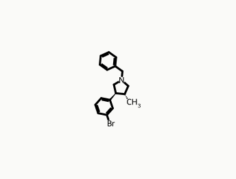 C[C@H]1CN(Cc2ccccc2)C[C@@H]1c1cccc(Br)c1